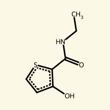 CCNC(=O)c1sccc1O